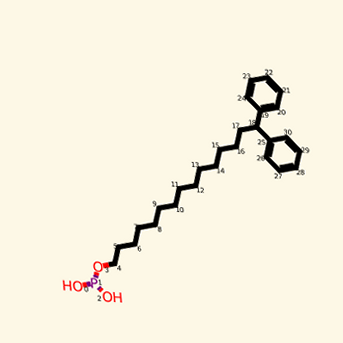 OP(O)OCCCCCCCCCCCCCCC(c1ccccc1)c1ccccc1